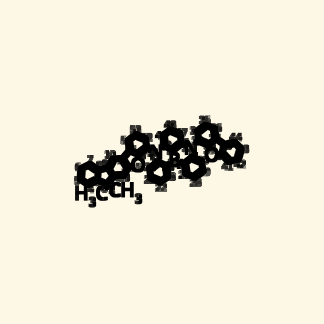 CC1(C)c2ccccc2-c2cc3c(cc21)oc1c(N2c4ccccc4B4c5ccccc5N(c5cccc6c5oc5ccccc56)c5cccc2c54)cccc13